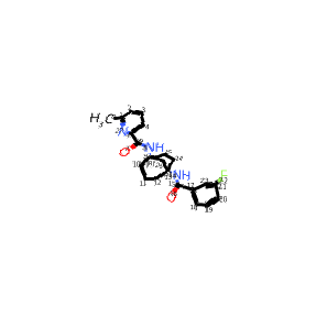 Cc1cccc(C(=O)N[C@]23CCC[C@](NC(=O)c4cccc(F)c4)(CC2)C3)n1